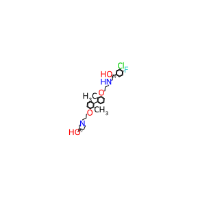 Cc1c(OCCCNC[C@@H](O)c2ccc(F)c(Cl)c2)cccc1-c1cccc(OCCCN2CC[C@@H](O)C2)c1C